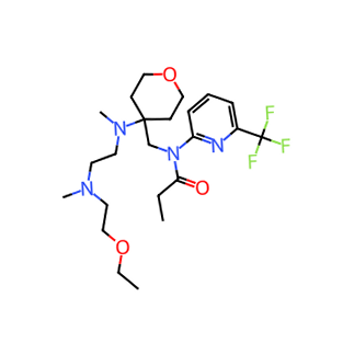 CCOCCN(C)CCN(C)C1(CN(C(=O)CC)c2cccc(C(F)(F)F)n2)CCOCC1